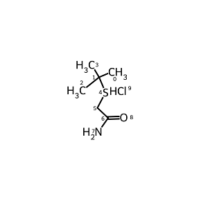 CC(C)(C)SCC(N)=O.Cl